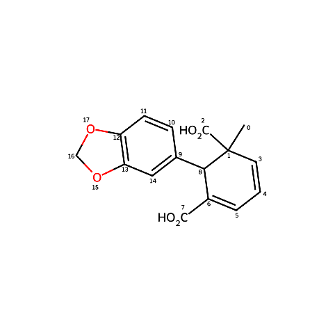 CC1(C(=O)O)C=CC=C(C(=O)O)C1c1ccc2c(c1)OCO2